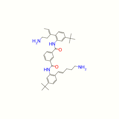 C/C=C(\CCN)c1ccc(C(C)(C)C)cc1NC(=O)c1cccc(C(=O)Nc2cc(C(C)(C)C)ccc2/C=C/CCCN)c1